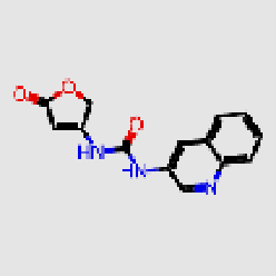 O=C(NC1=CC(=O)OC1)Nc1cnc2ccccc2c1